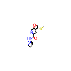 CSc1coc2cnc(C(=O)NC3CC4CCN3C4)cc12